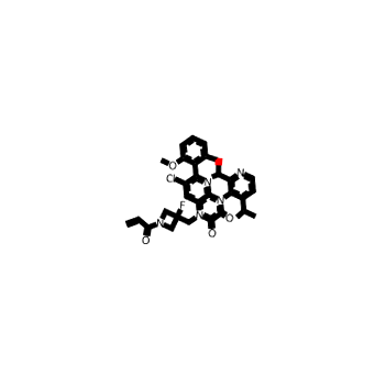 C=CC(=O)N1CC(F)(Cn2c(=O)c(=O)n(-c3c(C(C)C)ccnc3C(C)C)c3nc(-c4c(C)cccc4OC)c(Cl)cc32)C1